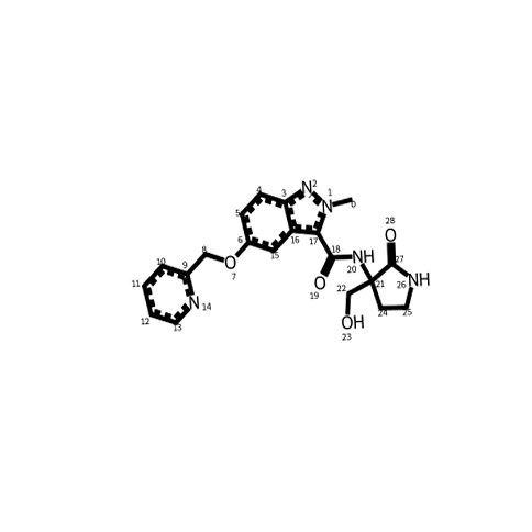 Cn1nc2ccc(OCc3ccccn3)cc2c1C(=O)NC1(CO)CCNC1=O